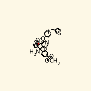 CS(=O)(=O)c1ccc(C(N)(c2ccsc2)c2ncnc(OC3CCN(Cc4ccsc4)CC3)c2[N+](=O)[O-])cc1